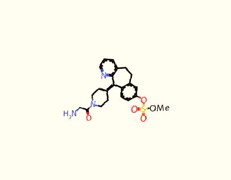 COS(=O)(=O)Oc1ccc2c(c1)CCc1cccnc1C2=C1CCN(C(=O)CN)CC1